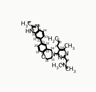 C=CCc1c(C)nc(CN(C)C)nc1N1CCOc2ccc(-c3ccc4nc(C)[nH]c4c3)cc2C1